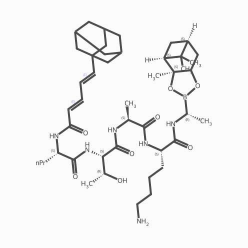 CCC[C@H](NC(=O)/C=C/C=C/C12CC3CC(CC(C3)C1)C2)C(=O)N[C@H](C(=O)N[C@@H](C)C(=O)N[C@@H](CCCCN)C(=O)N[C@@H](C)B1OC2C[C@@H]3C[C@@H](C3(C)C)[C@]2(C)O1)[C@@H](C)O